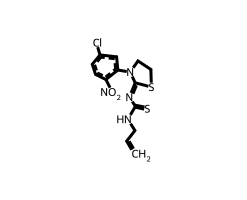 C=CCNC(=S)N=C1SCCN1c1cc(Cl)ccc1[N+](=O)[O-]